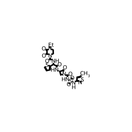 CCN1CCN(C(=O)NC(C(=O)N[C@@H]2CN(C(=O)NS(=O)(=O)Nc3cc(C)sn3)C2=O)c2cccs2)C(=O)C1=O